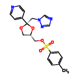 Cc1ccc(S(=O)(=O)OC[C@@H]2CO[C@@](Cn3cncn3)(c3ccncc3)O2)cc1